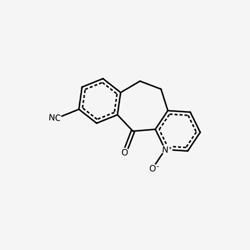 N#Cc1ccc2c(c1)C(=O)c1c(ccc[n+]1[O-])CC2